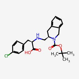 CC(C)(C)OC(=O)N1Cc2ccccc2C[C@@H]1CN[C@H](Cc1ccc(Cl)cc1)C(=O)O